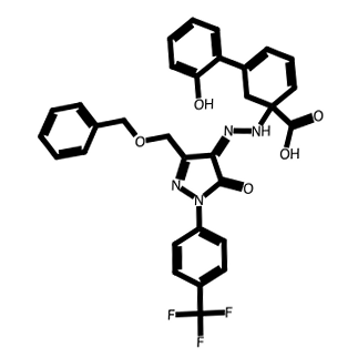 O=C1C(=NNC2(C(=O)O)C=CC=C(c3ccccc3O)C2)C(COCc2ccccc2)=NN1c1ccc(C(F)(F)F)cc1